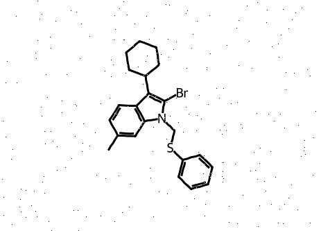 Cc1ccc2c(C3CCCCC3)c(Br)n(CSc3ccccc3)c2c1